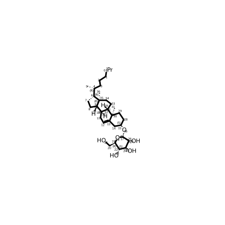 CC(C)CCC[C@@H](C)[C@H]1CC[C@H]2[C@@H]3CC=C4C[C@@H](O[C@H]5O[C@H](CO)[C@@H](O)[C@H](O)[C@H]5O)CC[C@]4(C)[C@H]3CC[C@]12C